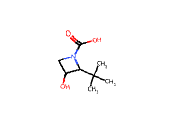 CC(C)(C)C1C(O)CN1C(=O)O